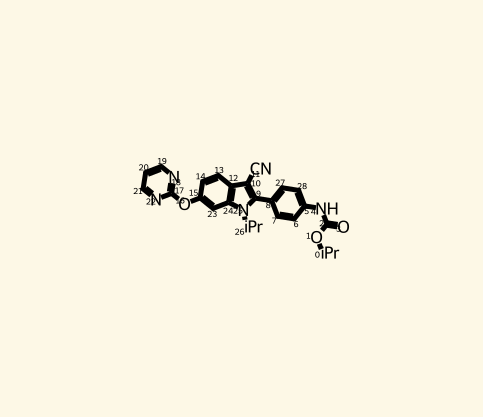 CC(C)OC(=O)Nc1ccc(-c2c(C#N)c3ccc(Oc4ncccn4)cc3n2C(C)C)cc1